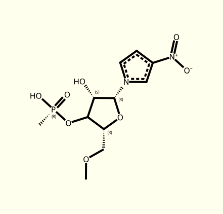 COC[C@H]1O[C@@H](n2ccc([N+](=O)[O-])c2)[C@@H](O)C1O[P@](C)(=O)O